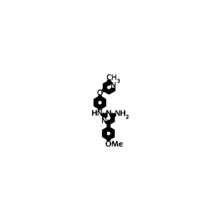 COc1ccc(-c2cc(N)nc(Nc3ccc(Oc4ccnc(C)c4)cc3)n2)cc1